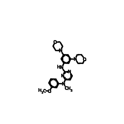 COc1cccc(N(C)c2ccnc(Nc3cc(N4CCOCC4)cc(N4CCOCC4)c3)n2)c1